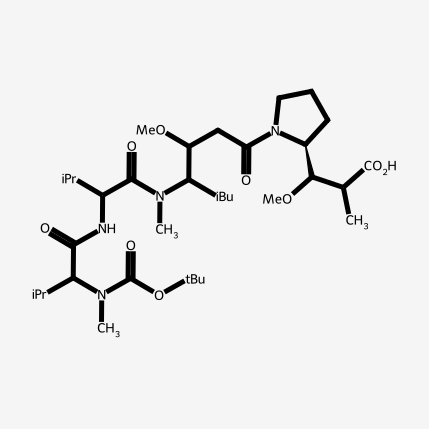 CCC(C)C(C(CC(=O)N1CCC[C@H]1C(OC)C(C)C(=O)O)OC)N(C)C(=O)C(NC(=O)C(C(C)C)N(C)C(=O)OC(C)(C)C)C(C)C